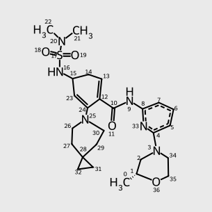 C[C@@H]1CN(c2cccc(NC(=O)C3=CCC(NS(=O)(=O)N(C)C)C=C3N3CCC4(CC3)CC4)n2)CCO1